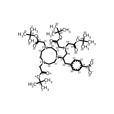 CC(C)(C)OC(=O)CN1CCN(CC(=O)OC(C)(C)C)CCN(C(Cc2ccc([N+](=O)[O-])cc2)CN(CC(=O)OC(C)(C)C)CC(=O)OC(C)(C)C)CC1